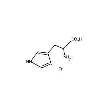 NC(Cc1c[nH]cn1)C(=O)O.[Cr]